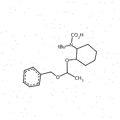 CC(OCc1ccccc1)OC1CCCCC1N(C(=O)O)C(C)(C)C